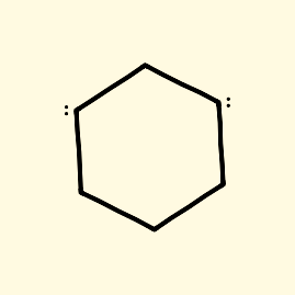 [C]1C[C]CCC1